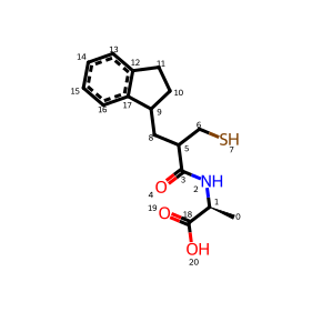 C[C@H](NC(=O)C(CS)CC1CCc2ccccc21)C(=O)O